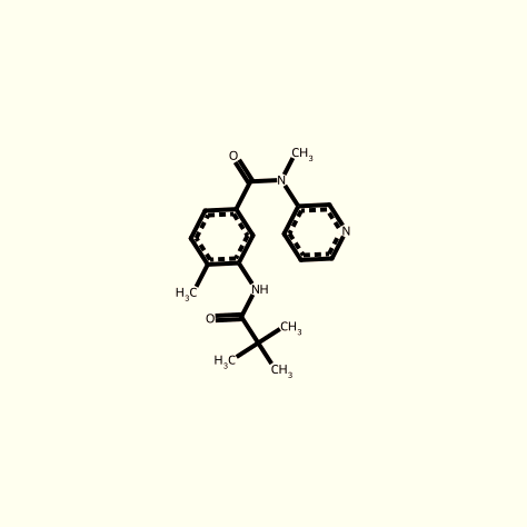 Cc1ccc(C(=O)N(C)c2cccnc2)cc1NC(=O)C(C)(C)C